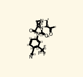 CC(=O)C1C[N@@]2CC3C(=O)N(c4ccc(C#N)c(C(F)(F)F)c4)C(=O)[N+]13C2